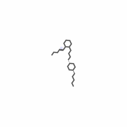 CCC/C=C/C1CCCCC1CCCC[C@H]1CC[C@H](CCCCC)CC1